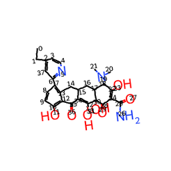 CCc1ccnc(-c2ccc(O)c3c2CC2CC4C(N(C)C)C(O)=C(C(N)=O)C(=O)C4(O)C(O)=C2C3=O)c1